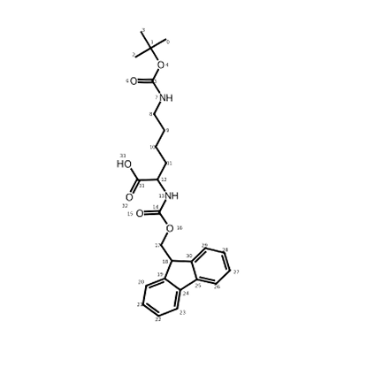 CC(C)(C)OC(=O)NCCCCC(NC(=O)OCC1c2ccccc2-c2ccccc21)C(=O)O